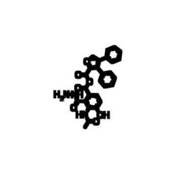 CC(=O)Nc1c(O)ccc(C(=O)OC(=O)c2occ(-c3ccccc3)c2-c2ccccc2)c1C(=O)NN